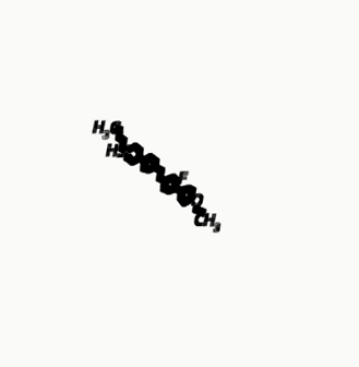 CCCCC[SiH]1CCC(c2ccc(CCc3ccc(-c4ccc(OCCC)cc4)c(F)c3)cc2)CC1